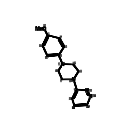 COc1ccc(N2CCN(c3cccnn3)CC2)cc1